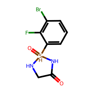 O=C1CN[SH](=O)(c2cccc(Br)c2F)N1